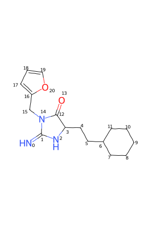 N=C1NC(CCC2CCCCC2)C(=O)N1Cc1ccco1